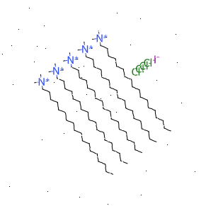 CCCCCCCCCCCCCCCCCC[N+](C)(C)C.CCCCCCCCCCCCCCCCCC[N+](C)(C)C.CCCCCCCCCCCCCCCCCC[N+](C)(C)C.CCCCCCCCCCCCCCCCCC[N+](C)(C)C.CCCCCCCCCCCCCCCCCC[N+](C)(C)C.[Cl-].[Cl-].[Cl-].[Cl-].[I-]